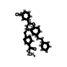 COC(=O)c1ccc(CNC[C@H](Oc2ccc(CCc3ccccc3)cc2)c2cccc(Cl)c2)cc1